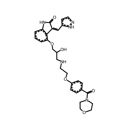 O=C1Nc2cccc(OCC(O)CNCCOc3ccc(C(=O)N4CCOCC4)cc3)c2/C1=C/c1ccn[nH]1